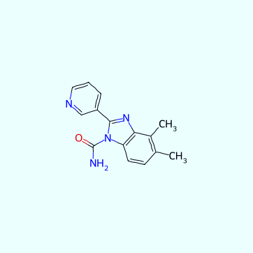 Cc1ccc2c(nc(-c3cccnc3)n2C(N)=O)c1C